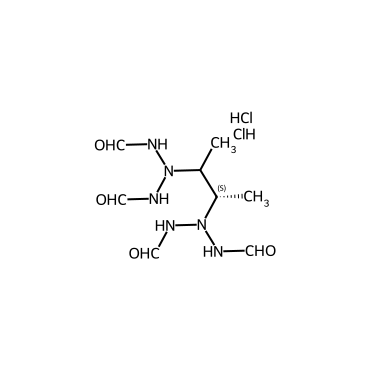 CC([C@H](C)N(NC=O)NC=O)N(NC=O)NC=O.Cl.Cl